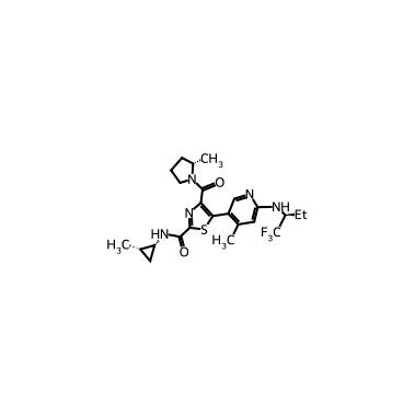 CC[C@H](Nc1cc(C)c(-c2sc(C(=O)N[C@@H]3C[C@@H]3C)nc2C(=O)N2CCC[C@@H]2C)cn1)C(F)(F)F